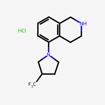 Cl.FC(F)(F)C1CCN(c2cccc3c2CCNC3)C1